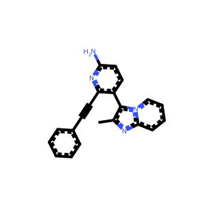 Cc1nc2ccccn2c1-c1ccc(N)nc1C#Cc1ccccc1